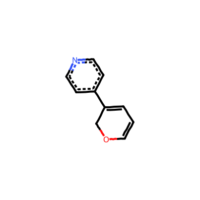 C1=COCC(c2ccncc2)=C1